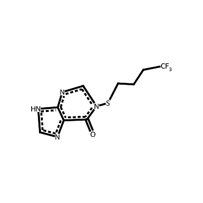 O=c1c2nc[nH]c2ncn1SCCCC(F)(F)F